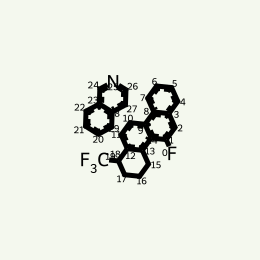 Fc1cc2ccccc2c2ccc3c(c12)CCCC3C(F)(F)F.c1ccc2cnccc2c1